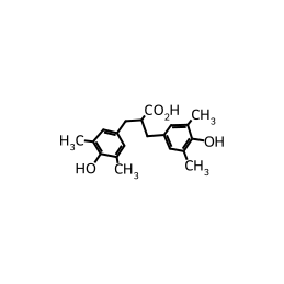 Cc1cc(CC(Cc2cc(C)c(O)c(C)c2)C(=O)O)cc(C)c1O